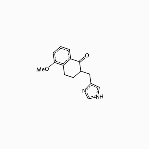 COc1cccc2c1CCC(Cc1c[nH]cn1)C2=O